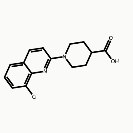 O=C(O)C1CCN(c2ccc3cccc(Cl)c3n2)CC1